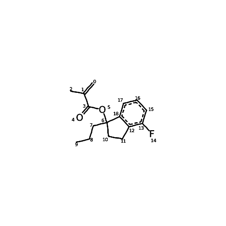 C=C(C)C(=O)OC1(CCC)CCc2c(F)cccc21